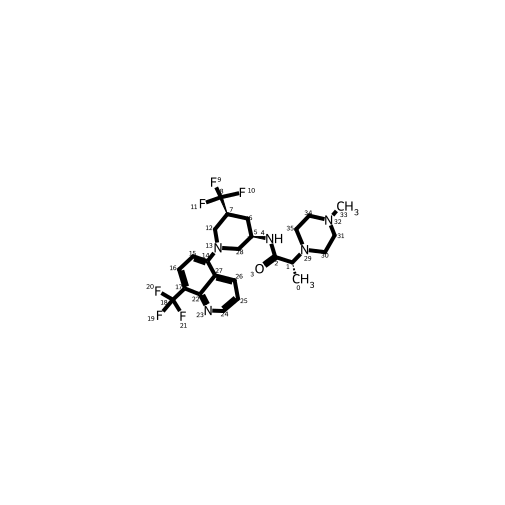 C[C@H](C(=O)N[C@@H]1C[C@H](C(F)(F)F)CN(c2ccc(C(F)(F)F)c3ncccc23)C1)N1CCN(C)CC1